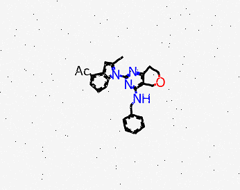 CC(=O)c1cccc2c1cc(C)n2-c1nc2c(c(NCc3ccccc3)n1)COCC2